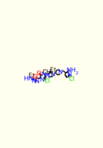 CCNc1nnc(-c2nc(Cl)c(N3CCN(C4CCN(Cc5ccc(Cl)nc5N)CC4)[C@@H](CC)C3)n(C)c2=O)o1